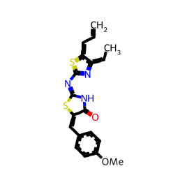 C=C/C=c1/sc(/N=C2\NC(=O)/C(=C\c3ccc(OC)cc3)S2)n/c1=C/C